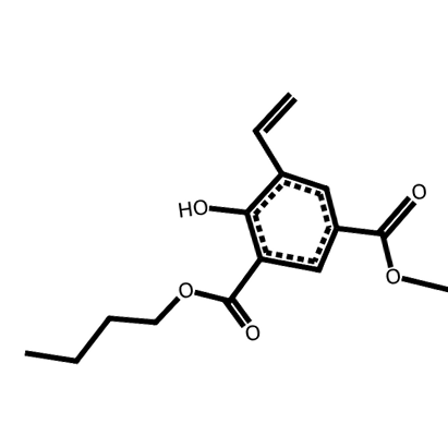 C=Cc1cc(C(=O)OC)cc(C(=O)OCCCC)c1O